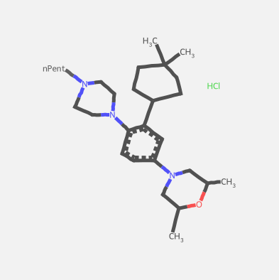 CCCCCN1CCN(c2ccc(N3CC(C)OC(C)C3)cc2C2CCC(C)(C)CC2)CC1.Cl